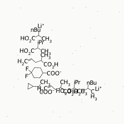 C=CCC(C)C(=O)O.C=CCC(C)C(=O)O.CC(C(=O)[O-])C1CC1.CC(C)C(C)C(=O)O.CC(C)C(C)C(=O)O.CCCCC(C)C(=O)O.CCCCC(C)C(=O)O.O=C([O-])C1CCC(F)(F)CC1.[Li+].[Li+]